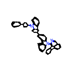 c1ccc(-c2ccc(-n3c4ccccc4c4cc(-c5ccc6c(c5)c5ccccc5n6-c5ncc6cccc7c6c5-c5ccccc5-7)ccc43)cc2)cc1